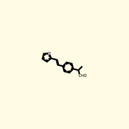 CC(C=O)c1ccc(C=Cc2ccco2)cc1